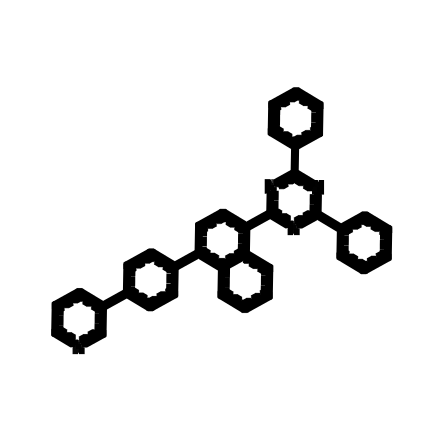 c1ccc(-c2nc(-c3ccccc3)nc(-c3ccc(-c4ccc(-c5cccnc5)cc4)c4ccccc34)n2)cc1